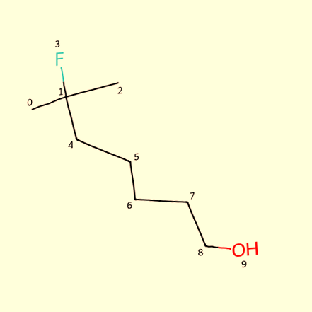 CC(C)(F)CCCCCO